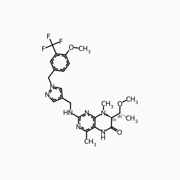 COc1ccc(Cn2cc(CNc3nc(C)c4c(n3)N(C)[C@@H]([C@@H](C)OC)C(=O)N4)cn2)cc1C(F)(F)F